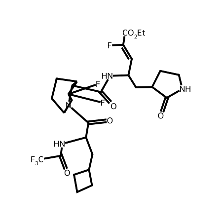 CCOC(=O)C(F)=CC(CC1CCNC1=O)NC(=O)C1C2CCC(CC2(F)F)N1C(=O)C(CC1CCC1)NC(=O)C(F)(F)F